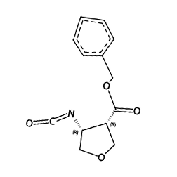 O=C=N[C@H]1COC[C@H]1C(=O)OCc1ccccc1